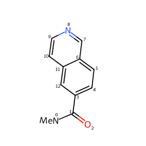 CNC(=O)c1ccc2cnccc2c1